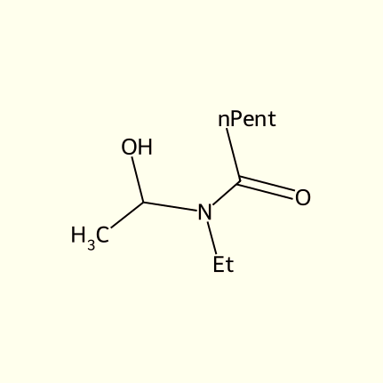 CCCCCC(=O)N(CC)C(C)O